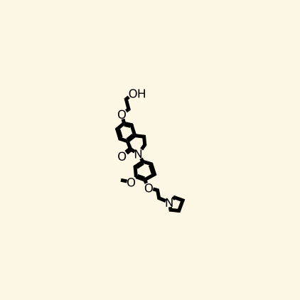 COc1cc(N2CCc3cc(OCCO)ccc3C2=O)ccc1OCCN1CCCC1